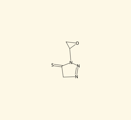 S=C1CN=NN1C1CO1